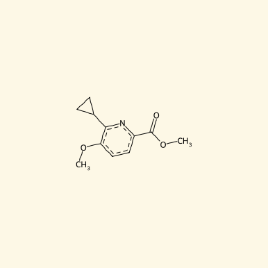 COC(=O)c1ccc(OC)c(C2CC2)n1